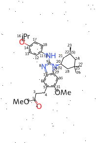 COC(=O)CCc1cc2nc(Nc3ccc(OC(C)C)cc3)n([C@H]3C[C@@H](C)CC(C)(C)C3)c2cc1OC